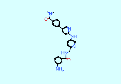 CN(C)C(=O)c1ccc(-c2ccc(Nc3ccc(CNC(=O)c4cccc(N)c4)nc3)nc2)cc1